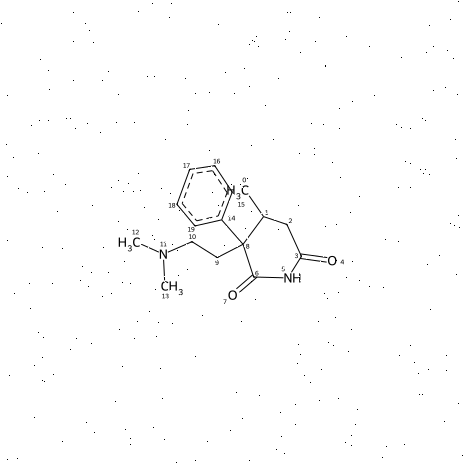 CC1CC(=O)NC(=O)C1(CCN(C)C)c1ccccc1